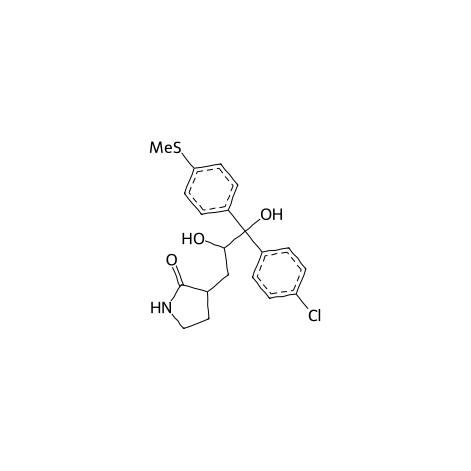 CSc1ccc(C(O)(c2ccc(Cl)cc2)C(O)CC2CCNC2=O)cc1